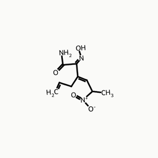 C=CCC(=CC(C)[N+](=O)[O-])C(=NO)C(N)=O